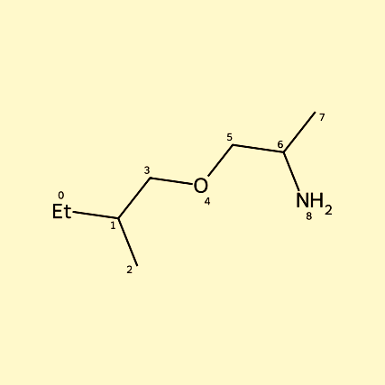 CCC(C)COCC(C)N